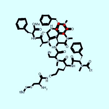 CCC(=O)N(C)[C@@H](Cc1ccccc1)C(=O)N[C@@H](CCCCNC(=O)[C@@H](N)CSSC(C)(C)C)C(=O)N(C)C(CC(C)C)C(=O)N[C@@H](Cc1ccccc1)C(=O)N(C)CC(=O)N(C)[C@@H](Cc1ccccc1)C(=O)N[C@@H](C)C(=O)N(C)[C@@H](C)C(=O)N[C@@H](Cc1ccccc1)C(=O)OC